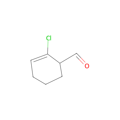 O=CC1CCCC=C1Cl